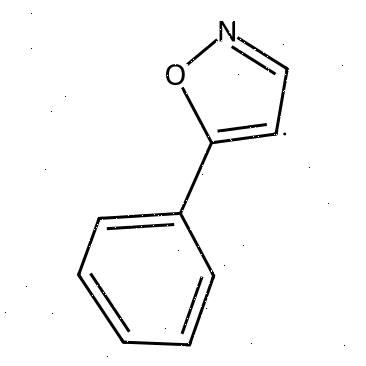 [c]1cnoc1-c1ccccc1